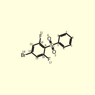 O=S(=O)(c1ccccc1)c1c(F)cc(Br)cc1F